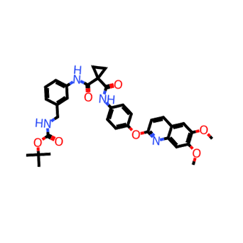 COc1cc2ccc(Oc3ccc(NC(=O)C4(C(=O)Nc5cccc(CNC(=O)OC(C)(C)C)c5)CC4)cc3)nc2cc1OC